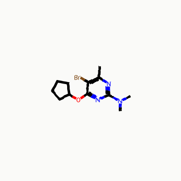 Cc1nc(N(C)C)nc(OC2CCCC2)c1Br